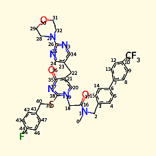 CN(Cc1ccc(-c2ccc(C(F)(F)F)cc2)cc1)C(=O)Cn1cc(Cc2cnc(N3CCOCC3)nc2)c(=O)nc1SCc1ccc(F)cc1